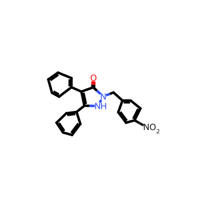 O=c1c(-c2ccccc2)c(-c2ccccc2)[nH]n1Cc1ccc([N+](=O)[O-])cc1